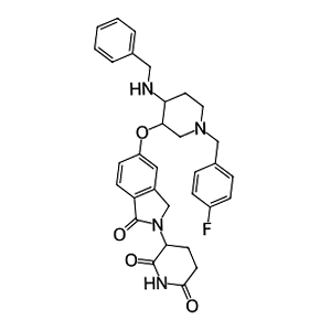 O=C1CCC(N2Cc3cc(OC4CN(Cc5ccc(F)cc5)CCC4NCc4ccccc4)ccc3C2=O)C(=O)N1